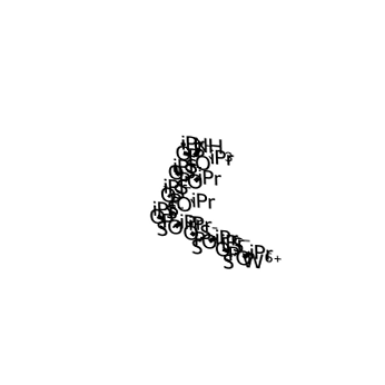 CC(C)OP(=S)([S-])OC(C)C.CC(C)OP(=S)([S-])OC(C)C.CC(C)OP(=S)([S-])OC(C)C.CC(C)OP(=S)([S-])OC(C)C.CC(C)OP(=S)([S-])OC(C)C.CC(C)OP(=S)([S-])OC(C)C.N.[W+6]